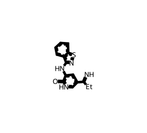 CCC(=N)c1c[nH]c(=O)c(Nc2nsc3ccccc23)c1